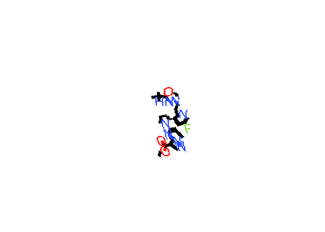 CCOC(=O)c1cnn2ccc(N3CCC[C@H]3c3cc(F)cnc3CCN(CC)NC(=O)C(C)(C)C)nc12